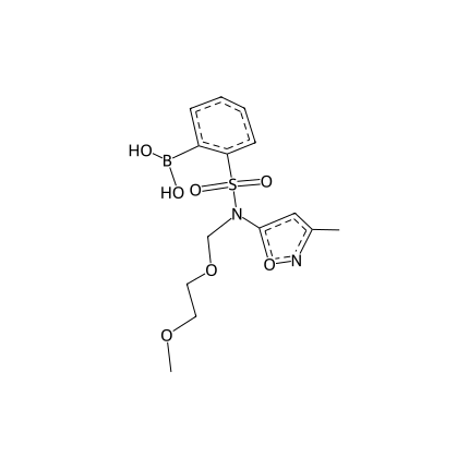 COCCOCN(c1cc(C)no1)S(=O)(=O)c1ccccc1B(O)O